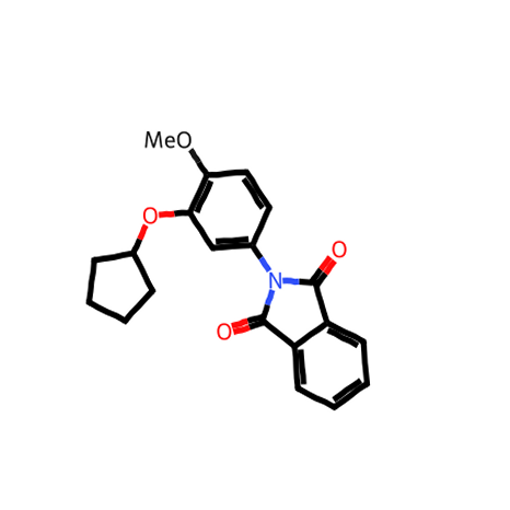 COc1ccc(N2C(=O)c3ccccc3C2=O)cc1OC1CCCC1